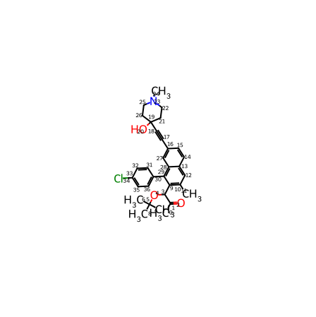 CC(=O)C(OC(C)(C)C)c1c(C)cc2ccc(C#CC3(O)CCN(C)CC3)cc2c1-c1ccc(Cl)cc1